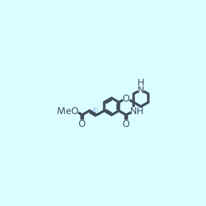 COC(=O)/C=C/c1ccc2c(c1)C(=O)NC1(CCCNC1)O2